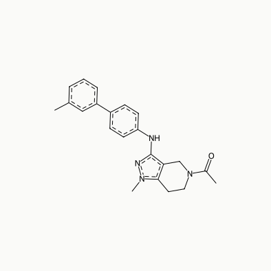 CC(=O)N1CCc2c(c(Nc3ccc(-c4cccc(C)c4)cc3)nn2C)C1